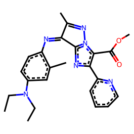 CCN(CC)c1ccc(/N=C2/C(C)=Nn3c2nc(-c2ccccn2)c3C(=O)OC)c(C)c1